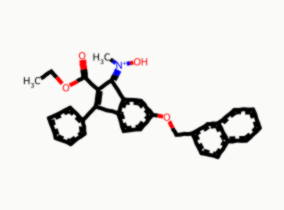 CCOC(=O)C1=C(c2ccccc2)c2ccc(OCc3ccc4ccccc4c3)cc2/C1=[N+](/C)O